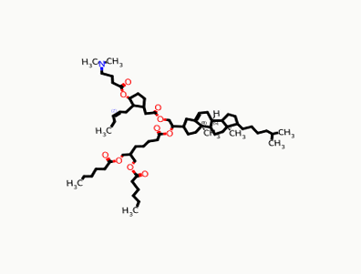 CC/C=C\CC1C(CC(=O)OCC(OC(=O)CCCCC(COC(=O)CCCCC)COC(=O)CCCCC)C2CC[C@@]3(C)C(=CC[C@H]4C5CCC(CCCCC(C)C)[C@@]5(C)CCC43)C2)CCC1OC(=O)CCCN(C)C